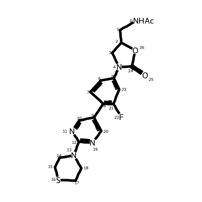 CC(=O)NCC1CN(c2ccc(-c3cnc(N4CCSCC4)nc3)c(F)c2)C(=O)O1